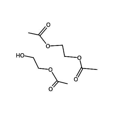 CC(=O)OCCO.CC(=O)OCCOC(C)=O